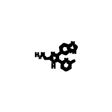 Cc1cccc(-c2[nH]c(CN)nc2-c2ccc3ncnn3c2)n1